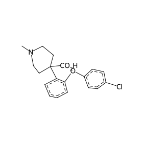 CN1CCC(C(=O)O)(c2ccccc2Oc2ccc(Cl)cc2)CC1